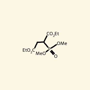 CCOC(=O)CC(C(=O)OCC)P(=O)(OC)OC